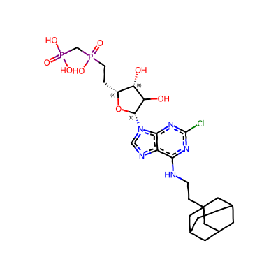 O=P(O)(O)CP(=O)(O)CC[C@H]1O[C@@H](n2cnc3c(NCCC45CC6CC(CC(C6)C4)C5)nc(Cl)nc32)C(O)[C@H]1O